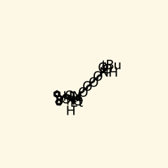 CCC(CC)(NC(=O)OCC1c2ccccc2-c2ccccc21)C(=O)NCCOCCOCCOCCOCCNC(=O)OC(C)(C)C